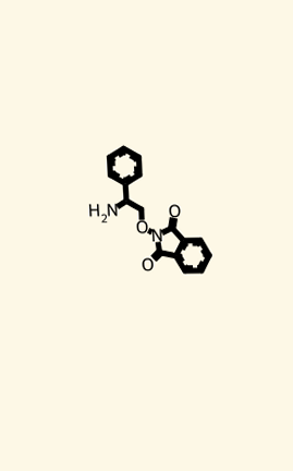 NC(CON1C(=O)c2ccccc2C1=O)c1ccccc1